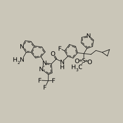 CS(=O)(=O)C(CCC1CC1)(c1ccncc1)c1ccc(F)c(NC(=O)c2cc(C(F)(F)F)nn2-c2ccc3ccnc(N)c3c2)c1